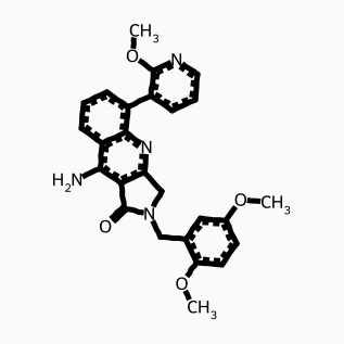 COc1ccc(OC)c(CN2Cc3nc4c(-c5cccnc5OC)cccc4c(N)c3C2=O)c1